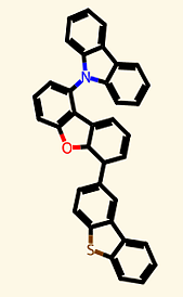 C1=CC(c2ccc3sc4ccccc4c3c2)C2Oc3cccc(-n4c5ccccc5c5ccccc54)c3C2=C1